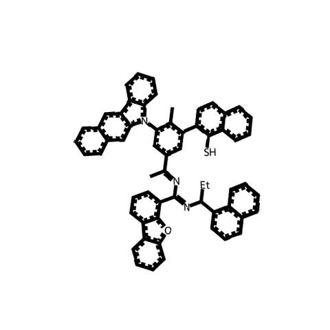 CCC(/N=C(\N=C(/C)c1cc(-c2ccc3ccccc3c2S)c(C)c(-n2c3ccccc3c3cc4ccccc4cc32)c1)c1cccc2c1oc1ccccc12)c1cccc2ccccc12